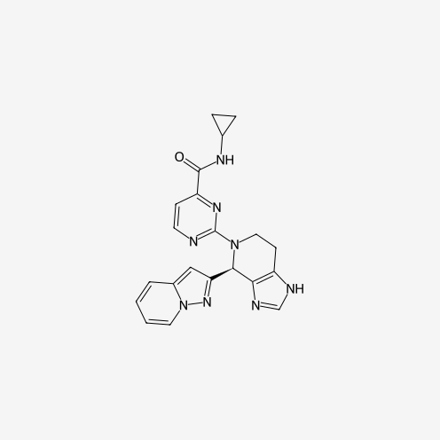 O=C(NC1CC1)c1ccnc(N2CCc3[nH]cnc3[C@H]2c2cc3ccccn3n2)n1